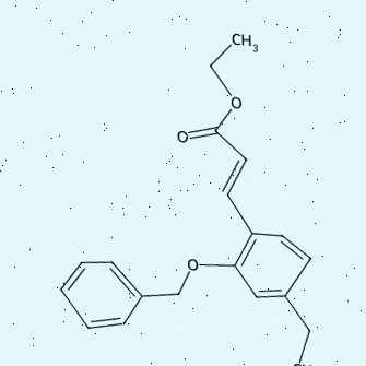 CCOC(=O)C=Cc1ccc(CC)cc1OCc1ccccc1